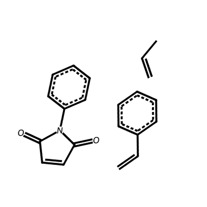 C=CC.C=Cc1ccccc1.O=C1C=CC(=O)N1c1ccccc1